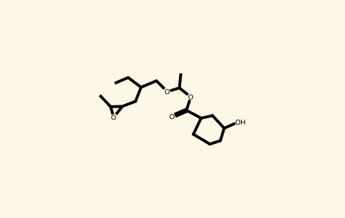 CCC(COC(C)OC(=O)C1CCCC(O)C1)CC1OC1C